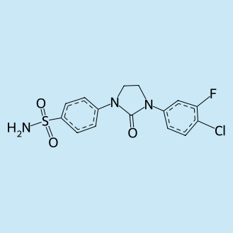 NS(=O)(=O)c1ccc(N2CCN(c3ccc(Cl)c(F)c3)C2=O)cc1